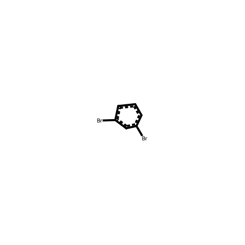 Brc1[c]c(Br)ccc1